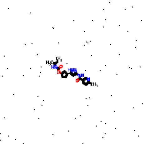 Cc1ccc(C(=O)Nc2cc([C@H]3CC[C@@H](OC(=O)NC(C)CC(F)(F)F)C3)[nH]n2)cn1